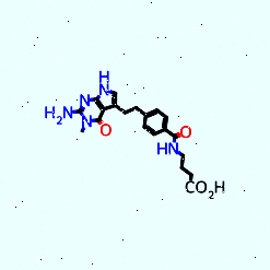 Cn1c(N)nc2[nH]cc(CCc3ccc(C(=O)NCCCC(=O)O)cc3)c2c1=O